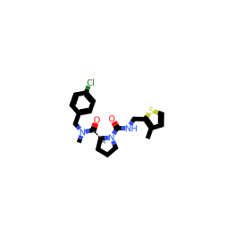 Cc1ccsc1CNC(=O)N1CCC[C@@H]1C(=O)N(C)Cc1ccc(Cl)cc1